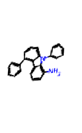 Nc1cccc2c3c(-c4ccccc4)cccc3n(-c3ccccc3)c12